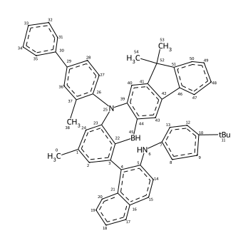 Cc1cc(-c2c(Nc3ccc(C(C)(C)C)cc3)ccc3ccccc23)c2c(c1)N(c1ccc(-c3ccccc3)cc1C)c1cc3c(cc1B2)-c1ccccc1C3(C)C